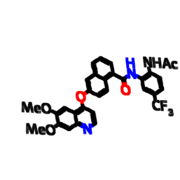 COc1cc2nccc(Oc3ccc4c(C(=O)Nc5cc(C(F)(F)F)ccc5NC(C)=O)cccc4c3)c2cc1OC